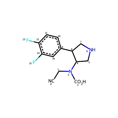 N#CCN(C(=O)O)C1CNCC1c1ccc(F)c(F)c1